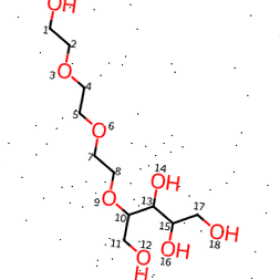 OCCOCCOCCOC(CO)C(O)C(O)CO